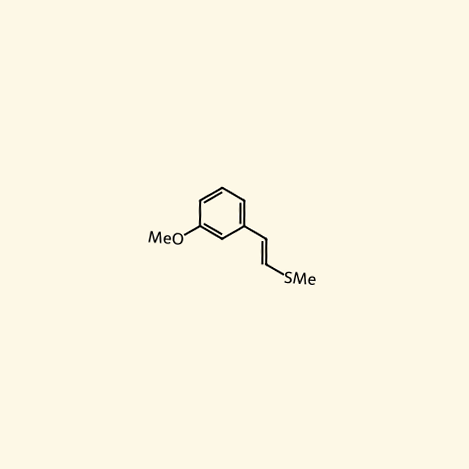 COc1cccc(C=CSC)c1